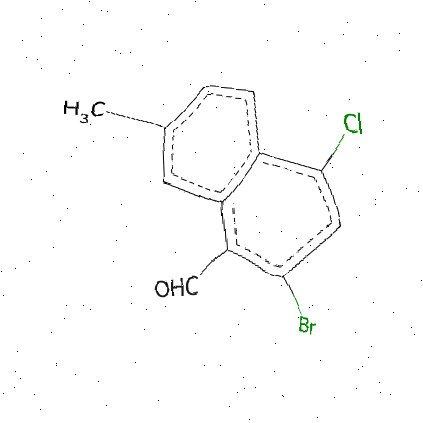 Cc1ccc2c(Cl)cc(Br)c(C=O)c2c1